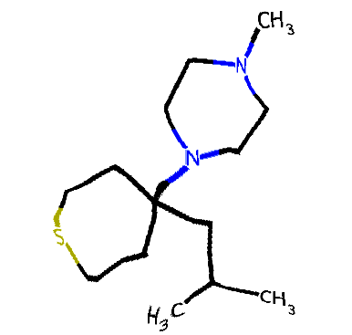 CC(C)CC1(N2CCN(C)CC2)CCSCC1